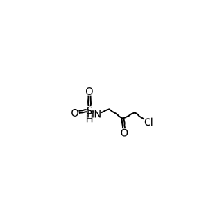 O=C(CCl)CN[SH](=O)=O